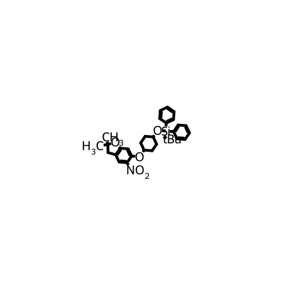 CC1(C)Cc2cc([N+](=O)[O-])c(OC3CCC(O[Si](c4ccccc4)(c4ccccc4)C(C)(C)C)CC3)cc2O1